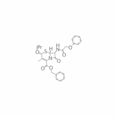 CC1=C(C(=O)OCc2ccccc2)N2C(=O)[C@H](NC(=O)COc3ccccc3)[C@H]2S[C@@H]1OC(C)C